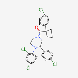 O=C(N1CCN(c2ccc(Cl)cc2Cl)C(c2ccc(Cl)cc2)C1)C1(c2ccc(Cl)cc2)CCC1